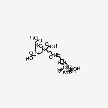 O=C(O)CN1CCN(CC(=O)O)CCN(C(CCC(=O)NCCc2cn(CC(O)(OP(O)O)O[PH](=O)O)cn2)C(=O)O)CC1